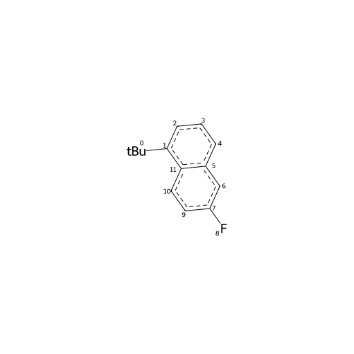 CC(C)(C)c1cccc2cc(F)ccc12